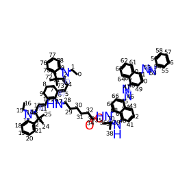 CCN1/C(=C/C=C2\CCCC(/C=C/C3=[N+](CC)c4ccccc4C3(C)C)=C2NCCCCCC(=O)OCC2(C)Nc3cccc4c(/N=N/c5ccc(/N=N/c6ccccc6)c6ccccc56)ccc(c34)N2)C(C)(C)c2ccccc21